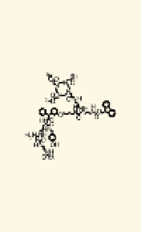 [2H]OC(=O)CN1CCN(CC(=O)NCCC(=O)N[C@H](CCCNC(=O)OCC2c3ccccc3-c3ccccc32)C(=O)NCCCCOc2cccc(C(C(=O)N[C@H](CCCN/C(N)=N\C(=O)NCCNC(=O)CC)C(=O)NCc3ccc(O)cc3)c3ccccc3)c2)CCN(CC(=O)O[2H])CCN(CC(=O)O[2H])CC1